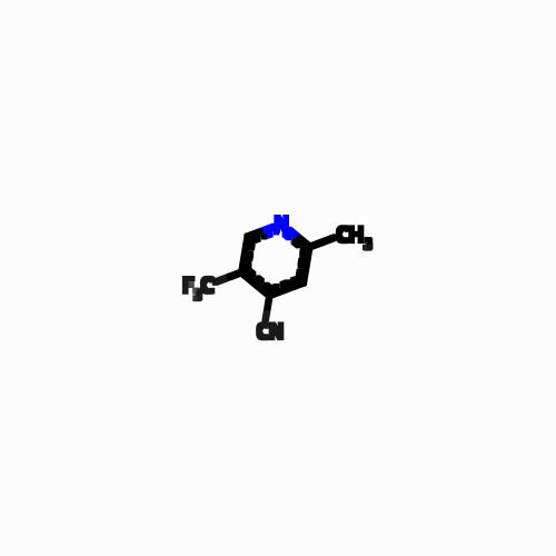 Cc1cc(C#N)c(C(F)(F)F)cn1